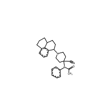 CC(=O)N(c1ccccc1)C1(C#N)CCN(C2CCC3CCCc4cccc2c43)CC1